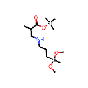 CO[Si](C)(CCCNCC(C)C(=O)O[Si](C)(C)C)OC